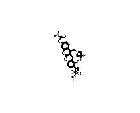 CNS(=O)(=O)Nc1cccc(Cc2c(CN3CC(F)(F)C3)c3ccc(OC(=O)N(C)C)cc3oc2=O)c1F